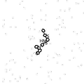 c1ccc(-c2ccc3c(c2)sc2ccc4c(c23)N[C@@H](c2ccc(-n3c5ccccc5c5c6ccccc6ccc53)cc2)S4)cc1